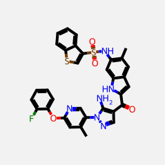 Cc1cc2cc(C(=O)c3cnn(-c4cnc(Oc5ccccc5F)cc4C)c3N)[nH]c2cc1NS(=O)(=O)c1csc2ccccc12